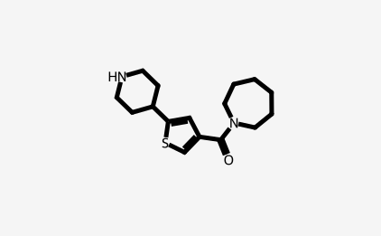 O=C(c1csc(C2CCNCC2)c1)N1CCCCCC1